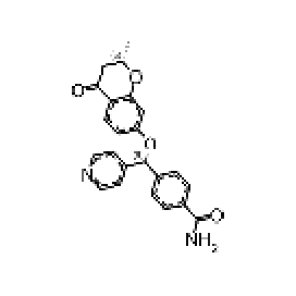 C[C@H]1CC(=O)c2ccc(O[C@@H](c3ccncc3)c3ccc(C(N)=O)cc3)cc2O1